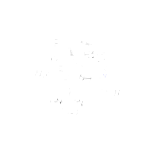 CS(=O)(=O)c1c(F)cccc1NCC1=NCCN1.O=C(O)/C=C/C(=O)O